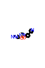 N#CN1CCC(N2CCN(c3cccc(-c4ccncc4)c3)S2(=O)=O)C1